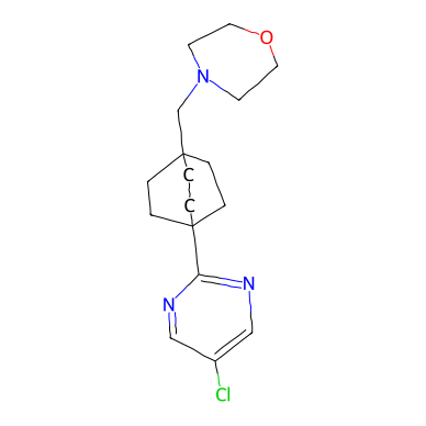 Clc1cnc(C23CCC(CN4CCOCC4)(CC2)CC3)nc1